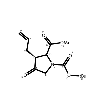 C=CC[C@@H]1C(=O)CN(C(=O)OC(C)(C)C)C1C(=O)OC